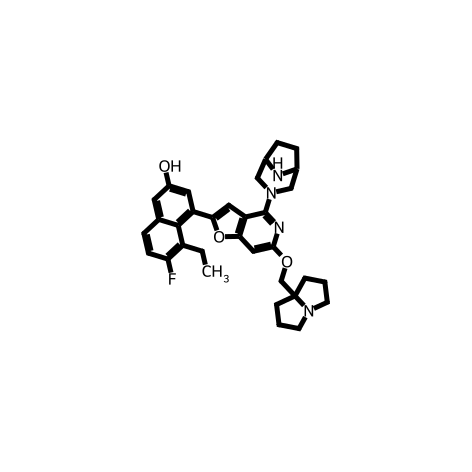 CCc1c(F)ccc2cc(O)cc(-c3cc4c(N5CC6CCC(C5)N6)nc(OCC56CCCN5CCC6)cc4o3)c12